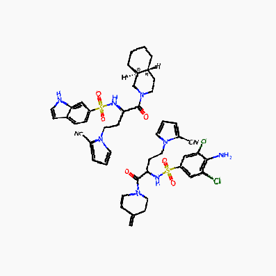 C=C1CCN(C(=O)C(CCn2cccc2C#N)NS(=O)(=O)c2cc(Cl)c(N)c(Cl)c2)CC1.N#Cc1cccn1CCC(NS(=O)(=O)c1ccc2cc[nH]c2c1)C(=O)N1CC[C@H]2CCCC[C@@H]2C1